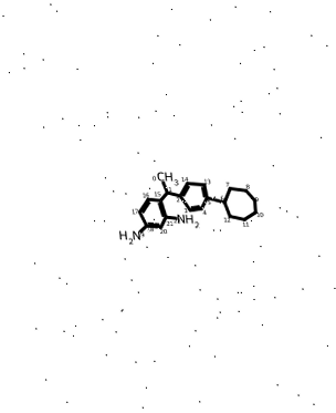 CC(c1ccc(C2CCCCCC2)cc1)c1ccc(N)cc1N